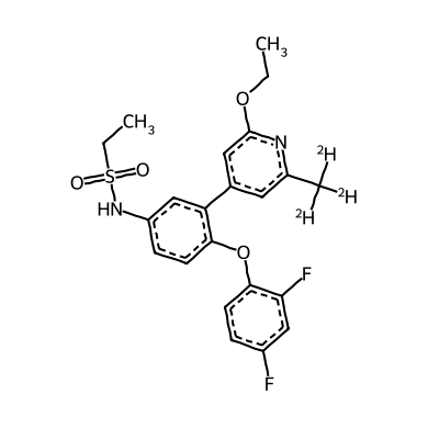 [2H]C([2H])([2H])c1cc(-c2cc(NS(=O)(=O)CC)ccc2Oc2ccc(F)cc2F)cc(OCC)n1